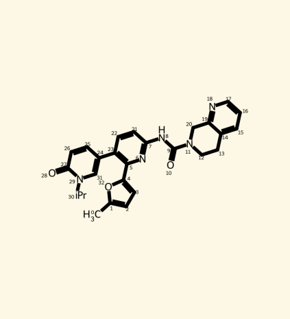 Cc1ccc(-c2nc(NC(=O)N3CCc4cccnc4C3)ccc2-c2ccc(=O)n(C(C)C)c2)o1